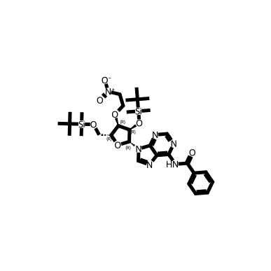 CC(C)(C)[Si](C)(C)OC[C@H]1O[C@@H](n2cnc3c(NC(=O)c4ccccc4)ncnc32)[C@H](O[Si](C)(C)C(C)(C)C)[C@@H]1OCC[N+](=O)[O-]